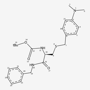 CN(C)c1ccc(CSC[C@H](NC(=O)OC(C)(C)C)C(=O)NCc2ccccc2)cc1